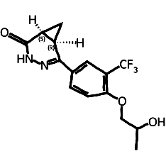 CC(O)COc1ccc(C2=NNC(=O)[C@H]3C[C@@H]23)cc1C(F)(F)F